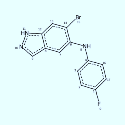 Fc1ccc(Nc2cc3cn[nH]c3cc2Br)cc1